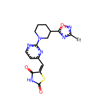 CCc1noc(C2CCCN(c3nccc(/C=C4/SC(=O)NC4=O)n3)C2)n1